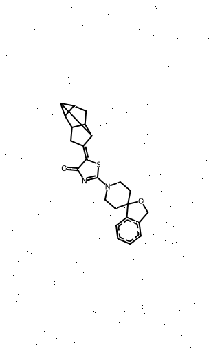 O=C1N=C(N2CCC3(CC2)OCc2ccccc23)S/C1=C1/CC2C3CC4C2C4C13